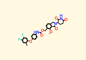 COc1c(COC(=O)Nc2ccc(Oc3cc(F)c(F)cc3C)cc2)ccc2c1C(=O)N(C1CCC(=O)NC1=O)C2